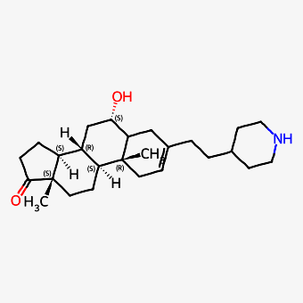 C[C@]12CC=C(CCC3CCNCC3)CC1[C@@H](O)C[C@@H]1[C@@H]2CC[C@]2(C)C(=O)CC[C@@H]12